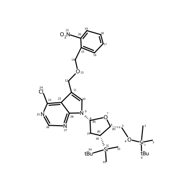 CC(C)(C)[Si](C)(C)OC[C@H]1O[C@@H](n2cc(COCc3ccccc3[N+](=O)[O-])c3c(Cl)ncnc32)C[C@H]1[Si](C)(C)C(C)(C)C